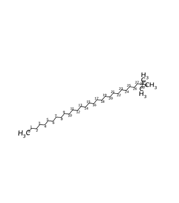 CCCCCCCCCCCCCCCCCCCCCCCCCCCCC(C)(C)C